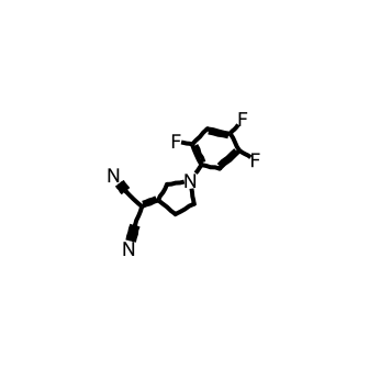 N#CC(C#N)=C1CCN(c2cc(F)c(F)cc2F)C1